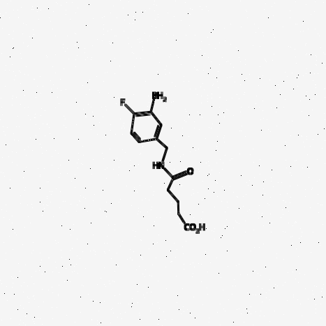 Bc1cc(CNC(=O)CCCC(=O)O)ccc1F